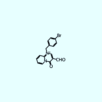 O=Cc1c[n+](Cc2ccc(Br)cc2)c2ccccn2c1=O